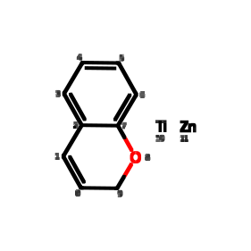 C1=Cc2ccccc2OC1.[Ti].[Zn]